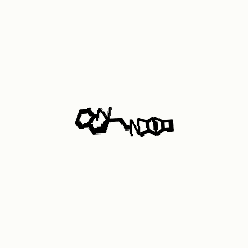 C1=CC2C1C1C=CC2C2CN(CCc3ccc4ccccc4n3)CC12